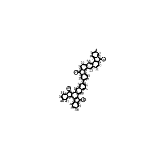 O=c1c2ccccc2c2c1ccc1cc3c(ccc4c(=O)c5cc(-c6ccc7cc8c(cc7c6)c6c(=O)c7ccccc7c6c6c7ccccc7c(=O)c86)ccc5c43)cc12